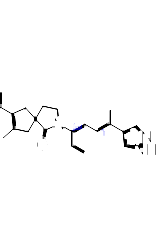 C=CC1=C(C)CC2(CCN(/C(C=C)=C/C=C(\C)c3cn[nH]c3)C2=O)C1